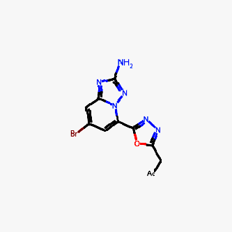 CC(=O)Cc1nnc(-c2cc(Br)cc3nc(N)nn23)o1